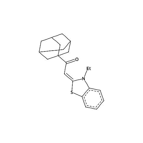 CCN1C(=CC(=O)C23CC4CC(CC(C4)C2)C3)Sc2ccccc21